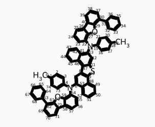 Cc1ccc(N(c2cc3c(sc4cc(N(c5ccc(C)cc5)c5cccc6c5oc5c(-c7ccccc7)cccc56)c5ccccc5c43)c3ccccc23)c2cccc3c2oc2c(-c4ccccc4)cccc23)cc1